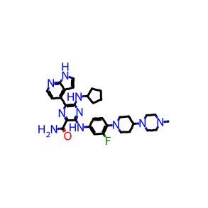 CN1CCN(C2CCN(c3ccc(Nc4nc(NC5CCCC5)c(-c5ccnc6[nH]ccc56)nc4C(N)=O)cc3F)CC2)CC1